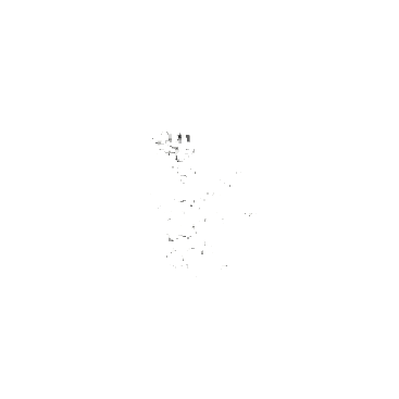 COCCOCOc1c2c(c(OCOCCOC)c3c1C(=O)c1cccc(OC)c1C3=O)C(OCOCCOC)CC(OCOCCOC)(C(=O)COC(=O)NCCC(O)(P(=O)(O)O)P(=O)(O)O)C2